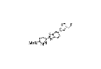 CNc1ccc(-c2nc3ccc(OCC(O)CF)cc3s2)nn1